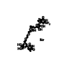 Cc1cn([C@H]2CN(CCOCCOCCOP(=O)(O)OC[C@H]3O[C@@H](n4cnc5c(=O)[nH]c(N)nc54)[C@H](O)[C@@H]3O)CC(CO)(CO)O2)c(=O)[nH]c1=O.[Na]